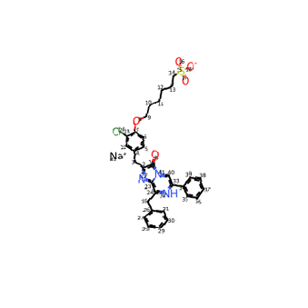 O=c1c(Cc2ccc(OCCCCCCS(=O)(=O)[O-])c(Cl)c2)nc2c(Cc3ccccc3)[nH]c(-c3ccccc3)cn1-2.[Na+]